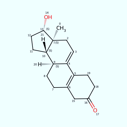 C[C@]12CC=C3C4=C(CC[C@H]3[C@@H]1CC[C@@H]2O)CC(=O)CC4